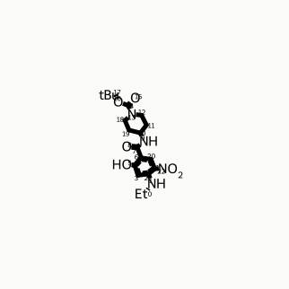 CCNc1cc(O)c(C(=O)NC2CCN(C(=O)OC(C)(C)C)CC2)cc1[N+](=O)[O-]